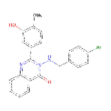 COc1ccc(-c2nc3ccccc3c(=O)n2NCc2ccc(Br)cc2)cc1O